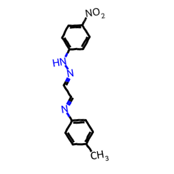 Cc1ccc(N=CC=NNc2ccc([N+](=O)[O-])cc2)cc1